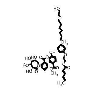 CC=CC=CC(=O)OCCOc1ccccc1.CCCCCCCCOCCO.COC(=O)c1ccc(O)cc1.O=C([O-])c1ccccc1.O=C1OC[C@@H](O)[C@@H](O)[C@H](O)[C@H]1O.[Na+]